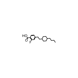 CCCCC1CCC(CCc2ccc(C(=O)O)c(F)c2)CC1